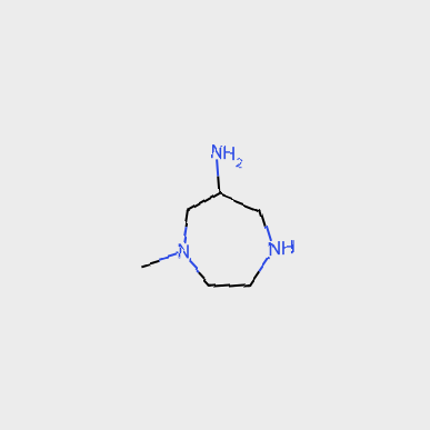 CN1CCNCC(N)C1